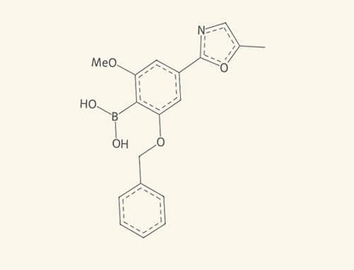 COc1cc(-c2ncc(C)o2)cc(OCc2ccccc2)c1B(O)O